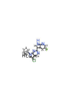 O=C(O)[C@@H]1C2CCC(CC2)C1n1cc(Cl)c2cnc(-c3c[nH]c4ncc(F)cc34)nc21